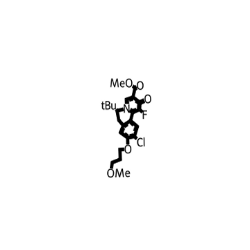 COCCCOc1cc2c(cc1Cl)-c1c(F)c(=O)c(C(=O)OC)cn1C(C(C)(C)C)C2